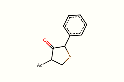 CC(=O)C1CSC(c2ccccc2)C1=O